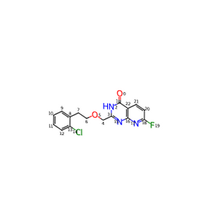 O=c1[nH]c(COCCc2ccccc2Cl)nc2nc(F)ccc12